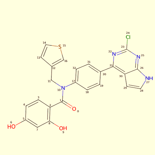 O=C(c1ccc(O)cc1O)N(Cc1ccsc1)c1ccc(-c2nc(Cl)nc3[nH]ccc23)cc1